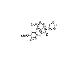 COc1ccc(Cn2c(=O)n(C3CCOCC3)c3ccc(C#N)cc32)cc1Br